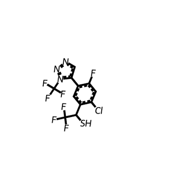 Fc1cc(Cl)c(C(S)C(F)(F)F)cc1-c1cnnn1C(F)(F)F